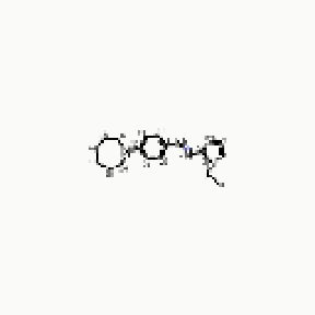 CC[n+]1ccsc1/N=N/c1ccc(N2CCCCCC2)cc1